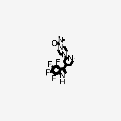 CN(C)C(=O)N1CCN([C@@H]2CC(c3c[nH]c4c(F)c(F)c(F)c(F)c34)CC[N]2)CC1